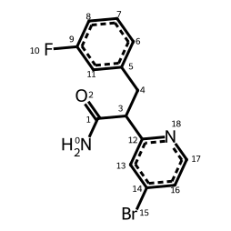 NC(=O)C(Cc1cccc(F)c1)c1cc(Br)ccn1